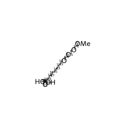 COCCOCCOCCOCCCCCCCCCCCP(=O)(O)O